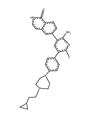 Nc1nc(F)c(-c2ccc(N3CCN(CCC4CC4)CC3)cc2)cc1-c1ccc2c(=O)[nH]ccc2c1